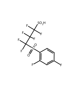 O=S(=O)(O)C(F)(F)C(F)(F)C(F)(F)S(=O)(=O)c1ccc(F)cc1F